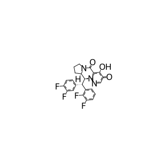 O=C1c2c(O)c(=O)cnn2[C@@H]([C@@H](c2ccc(F)c(F)c2)c2cccc(F)c2F)[C@H]2CCCN12